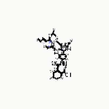 C\C=C(/N=C(\C=C\CC)OC(C)C)N/C(CC)=C(/NNC)c1ccc(NC(=O)C2CCCCC2C(=O)O)cc1